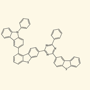 c1ccc(-c2nc(-c3ccc4c(c3)sc3cccc(-c5ccc6c(c5)c5ccccc5n6-c5ccccc5)c34)nc(-c3ccc4sc5ccccc5c4c3)n2)cc1